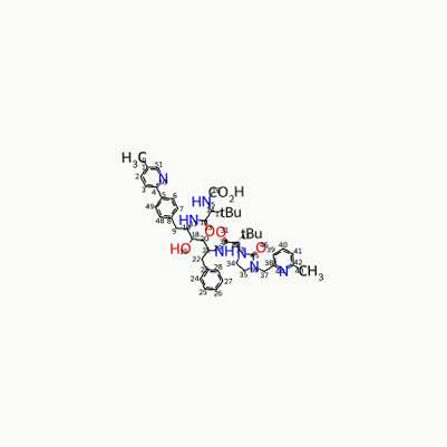 Cc1ccc(-c2ccc(CC(NC(=O)C(NC(=O)O)C(C)(C)C)C(O)CC(Cc3ccccc3)NC(=O)[C@@H](N3CCN(Cc4cccc(C)n4)C3=O)C(C)(C)C)cc2)nc1